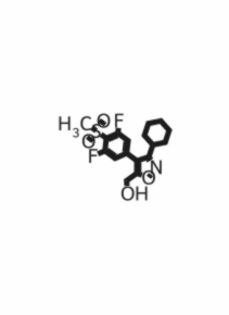 CS(=O)(=O)c1c(F)cc(-c2c(C3CCCCC3)noc2CO)cc1F